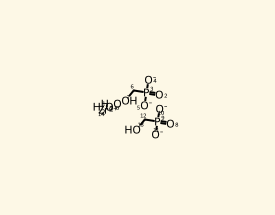 O.O.O=P([O-])([O-])CO.O=P([O-])([O-])CO.[Zr+4]